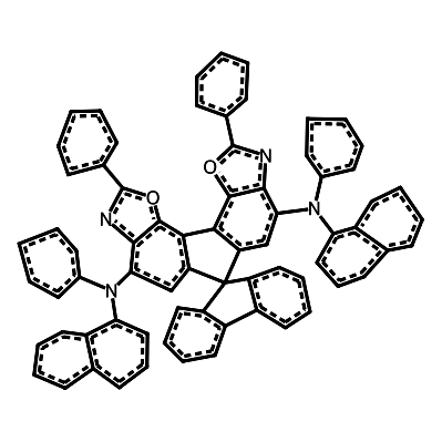 c1ccc(-c2nc3c(N(c4ccccc4)c4cccc5ccccc45)cc4c(c3o2)-c2c(cc(N(c3ccccc3)c3cccc5ccccc35)c3nc(-c5ccccc5)oc23)C42c3ccccc3-c3ccccc32)cc1